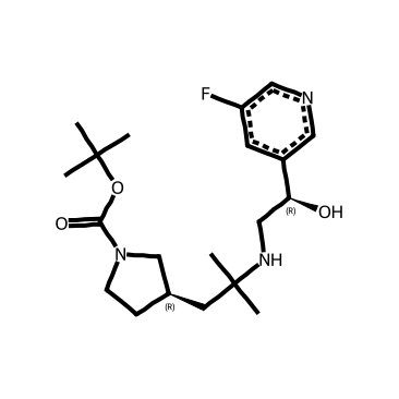 CC(C)(C[C@H]1CCN(C(=O)OC(C)(C)C)C1)NC[C@H](O)c1cncc(F)c1